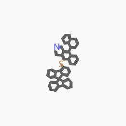 c1ccc2c(c1)-c1ccccc1C21c2ccccc2-c2c(Sc3c4ccccc4c(-c4cccc5ccccc45)c4cnccc34)cccc21